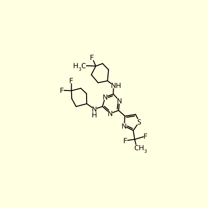 CC1(F)CCC(Nc2nc(NC3CCC(F)(F)CC3)nc(-c3csc(C(C)(F)F)n3)n2)CC1